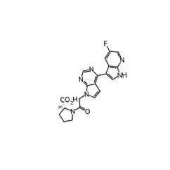 O=C(O)[C@H]1CCCN1C(=O)Cn1ccc2c(-c3c[nH]c4ncc(F)cc34)ncnc21